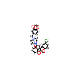 O=C(CC1(c2ccccc2)C(=O)Oc2ccc(Cl)cc21)N1CCN(Cc2ccc3c(c2)OCO3)CC1